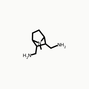 CN1C2CCC1C(CN)C2CN